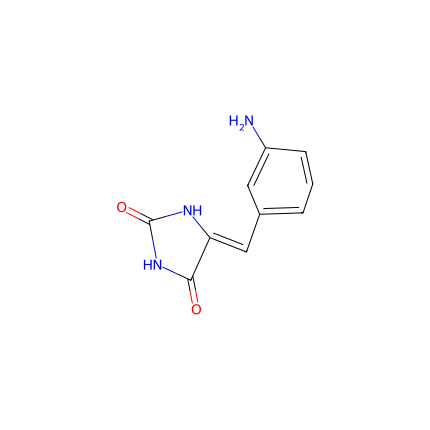 Nc1cccc(/C=C2\NC(=O)NC2=O)c1